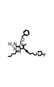 CCCCc1nc(N)c2c(n1)c(C#CCCCN1CCC(F)C1)c(C)n2COCc1ccccc1